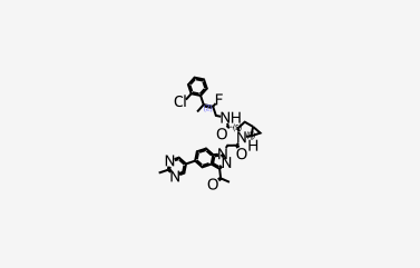 CC(=O)c1nn(CC(=O)N2[C@@H]3CC3C[C@H]2C(=O)NC/C(F)=C(\C)c2ccccc2Cl)c2ccc(-c3cnc(C)nc3)cc12